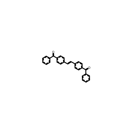 O=C(c1ccccc1)c1ccc(/C=C/c2ccc(C(=O)c3ccccc3)cc2)cc1